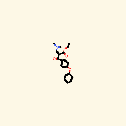 CCOC(=O)C(=CN(C)C)C(=O)c1ccc(Oc2ccccc2)cc1